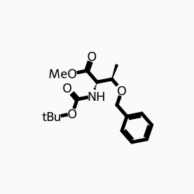 COC(=O)[C@@H](NC(=O)OC(C)(C)C)[C@@H](C)OCc1ccccc1